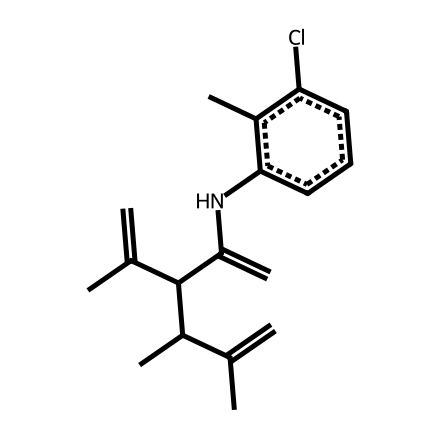 C=C(C)C(C)C(C(=C)C)C(=C)Nc1cccc(Cl)c1C